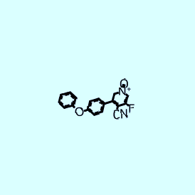 N#CC1=C(c2ccc(Oc3ccccc3)cc2)C[N+](=O)C=C1F